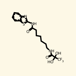 O=C(CCCCCCNC(=O)C(O)(O)C(F)(F)F)Nc1nc2ccccc2s1